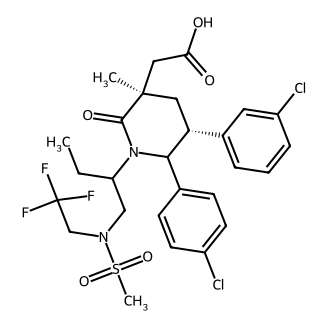 CCC(CN(CC(F)(F)F)S(C)(=O)=O)N1C(=O)[C@@](C)(CC(=O)O)C[C@H](c2cccc(Cl)c2)C1c1ccc(Cl)cc1